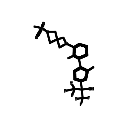 Cc1cc(C(O)(C(F)(F)F)C(F)(F)F)ccc1-c1cccc(N2CC3(C2)CN(S(C)(=O)=O)C3)c1C